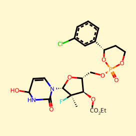 CCOC(=O)O[C@@H]1[C@@H](CO[P@@]2(=O)OCC[C@@H](c3cccc(Cl)c3)O2)O[C@@H](N2C=CC(O)NC2=O)[C@]1(C)F